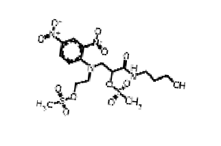 CS(=O)(=O)OCCN(CC(OS(C)(=O)=O)C(=O)NCCCO)c1ccc([N+](=O)[O-])cc1[N+](=O)[O-]